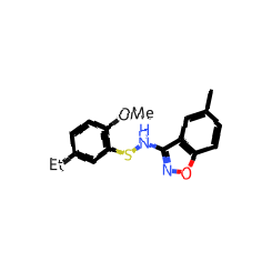 CCc1ccc(OC)c(SNc2noc3ccc(C)cc23)c1